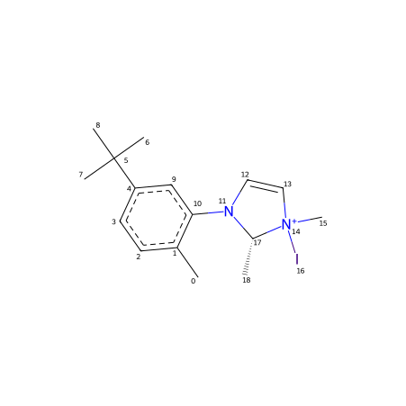 Cc1ccc(C(C)(C)C)cc1N1C=C[N+](C)(I)[C@@H]1C